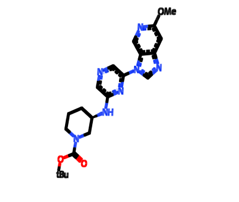 COc1cc2ncn(-c3cncc(N[C@@H]4CCCN(C(=O)OC(C)(C)C)C4)n3)c2cn1